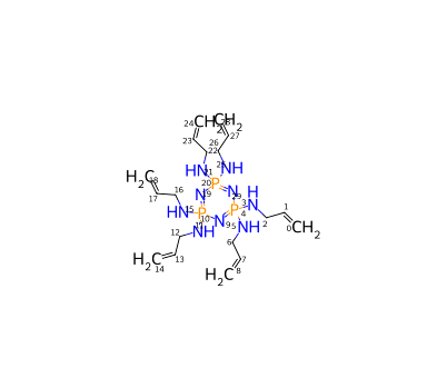 C=CCNP1(NCC=C)=NP(NCC=C)(NCC=C)=NP(NCC=C)(NCC=C)=N1